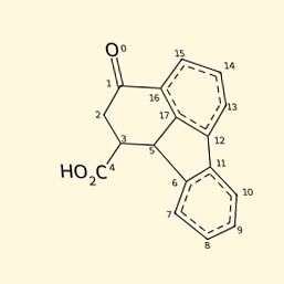 O=C1CC(C(=O)O)C2c3ccccc3-c3cccc1c32